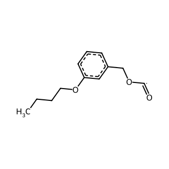 CCCCOc1cccc(CO[C]=O)c1